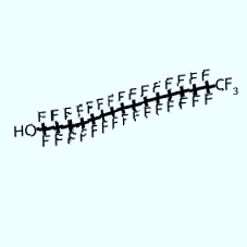 OC(F)(F)C(F)(F)C(F)(F)C(F)(F)C(F)(F)C(F)(F)C(F)(F)C(F)(F)C(F)(F)C(F)(F)C(F)(F)C(F)(F)C(F)(F)C(F)(F)C(F)(F)C(F)(F)F